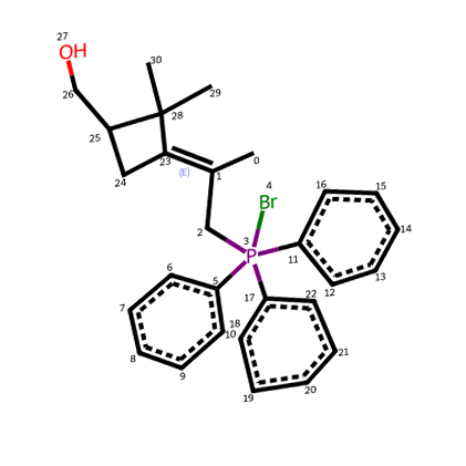 C/C(CP(Br)(c1ccccc1)(c1ccccc1)c1ccccc1)=C1/CC(CO)C1(C)C